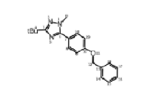 Cn1nc(C(C)(C)C)nc1-c1ccc(OCc2ccccc2)cc1